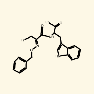 CCC(=O)C(Cc1c[nH]c2ccccc12)NC(=O)C(CC(C)C)=NOCc1ccccc1